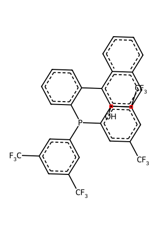 Oc1ccc2ccccc2c1-c1ccccc1P(c1cc(C(F)(F)F)cc(C(F)(F)F)c1)c1cc(C(F)(F)F)cc(C(F)(F)F)c1